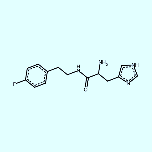 NC(Cc1c[nH]cn1)C(=O)NCCc1ccc(F)cc1